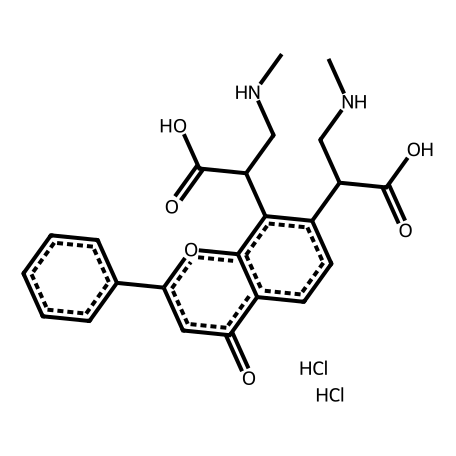 CNCC(C(=O)O)c1ccc2c(=O)cc(-c3ccccc3)oc2c1C(CNC)C(=O)O.Cl.Cl